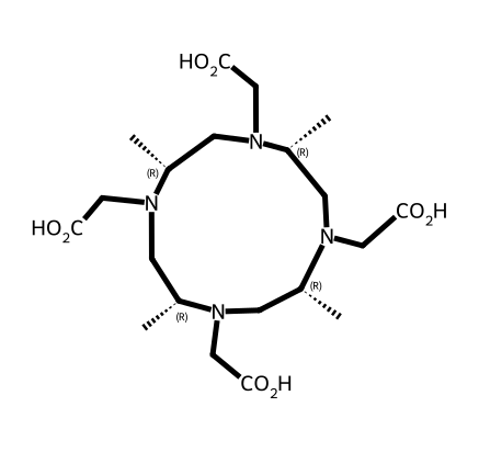 C[C@@H]1CN(CC(=O)O)[C@H](C)CN(CC(=O)O)[C@H](C)CN(CC(=O)O)[C@H](C)CN1CC(=O)O